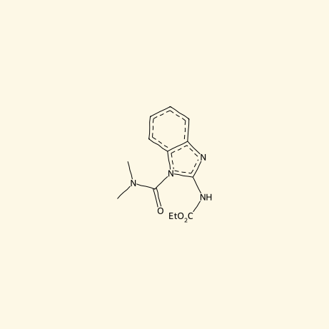 CCOC(=O)Nc1nc2ccccc2n1C(=O)N(C)C